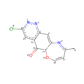 CC1=NC2=Cc3nnc(Cl)cc3C(=O)C2OC=C1